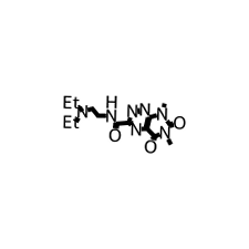 CCN(CC)CCNC(=O)c1nnc2c(n1)c(=O)n(C)c(=O)n2C